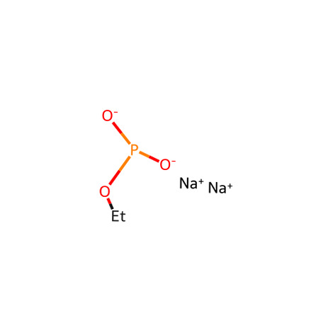 CCOP([O-])[O-].[Na+].[Na+]